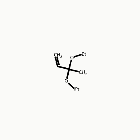 [CH2]C(C)OC(C)(C=C)OCC